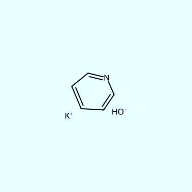 [K+].[OH-].c1ccncc1